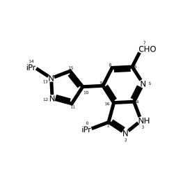 CC(C)c1n[nH]c2nc(C=O)cc(-c3cnn(C(C)C)c3)c12